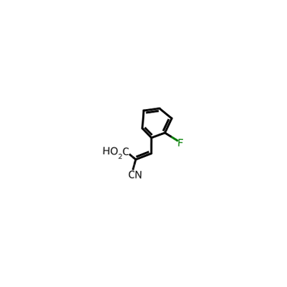 N#CC(=Cc1ccccc1F)C(=O)O